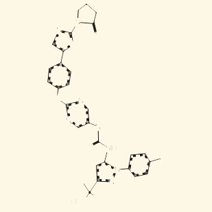 CC(C)(C)c1cc(NC(=O)Nc2cnc(Oc3ccc(-c4cnc(N5CCCC5=O)s4)cc3)nc2)n(-c2ccc(F)cc2)n1